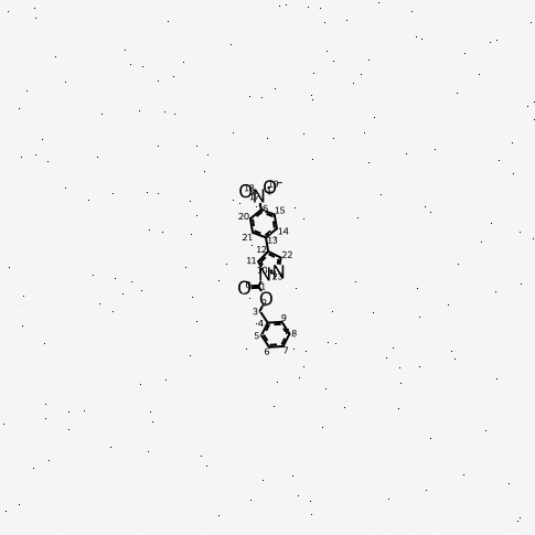 O=C(OCc1ccccc1)n1cc(-c2ccc([N+](=O)[O-])cc2)cn1